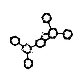 c1ccc(-c2cc(-c3ccccc3)c3sc4cc(-c5nc(-c6ccccc6)nc(-c6ccccc6)n5)ccc4c3c2)cc1